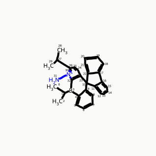 CC(C)B1c2ccccc2C2(c3ccccc3-c3ccccc32)c2ccc(C(C)C)[n+](N)c21